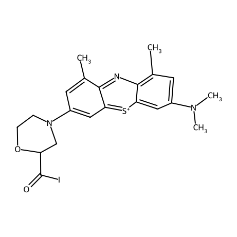 Cc1cc(N(C)C)cc2[s+]c3cc(N4CCOC(C(=O)I)C4)cc(C)c3nc12